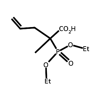 C=CCC(C)(C(=O)O)P(=O)(OCC)OCC